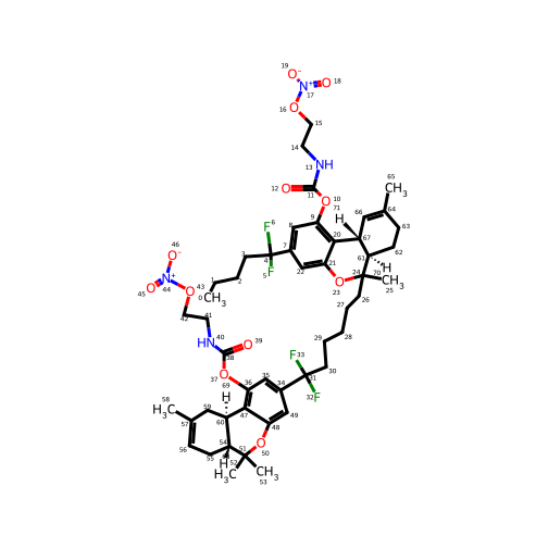 CCCCC(F)(F)c1cc(OC(=O)NCCO[N+](=O)[O-])c2c(c1)OC(C)(CCCCCC(F)(F)c1cc(OC(=O)NCCO[N+](=O)[O-])c3c(c1)OC(C)(C)[C@@H]1CC=C(C)C[C@@H]31)[C@@H]1CCC(C)=C[C@@H]21